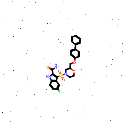 NC(=O)c1[nH]c2ccc(Cl)cc2c1S(=O)(=O)N1CCOC(COc2ccc(-c3ccccc3)cc2)C1